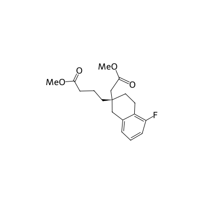 COC(=O)CCC[C@@]1(CC(=O)OC)CCc2c(F)cccc2C1